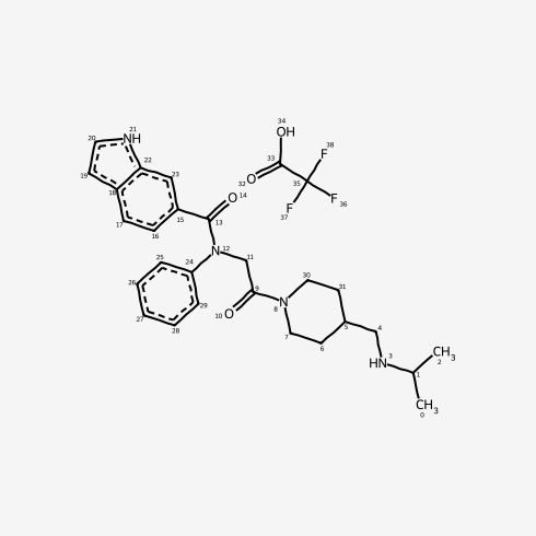 CC(C)NCC1CCN(C(=O)CN(C(=O)c2ccc3cc[nH]c3c2)c2ccccc2)CC1.O=C(O)C(F)(F)F